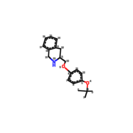 CC(C)(C)Oc1ccc(OCC2Cc3ccccc3CN2)cc1